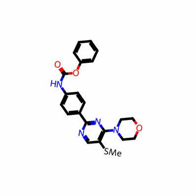 CSc1cnc(-c2ccc(NC(=O)Oc3ccccc3)cc2)nc1N1CCOCC1